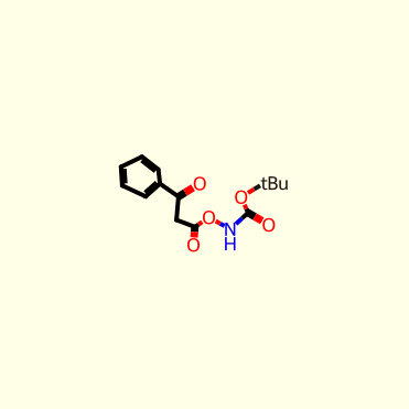 CC(C)(C)OC(=O)NOC(=O)CC(=O)c1ccccc1